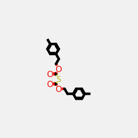 Cc1ccc(CCOC(=O)SC(=O)OCCc2ccc(C)cc2)cc1